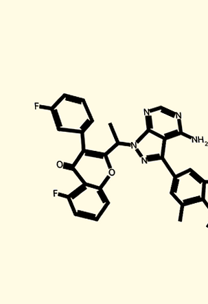 COc1c(C)cc(-c2nn(C(C)c3oc4cccc(F)c4c(=O)c3-c3cccc(F)c3)c3ncnc(N)c23)cc1C